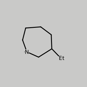 CCC1CCCC[N]C1